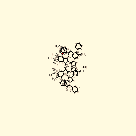 Cc1ccc(C2=Cc3c(ccc(C)c3-c3ccccc3)C2C2=C(c3ccco3)[CH]([Zr+2][CH]3C(c4ccco4)=C(C4C(c5ccc(C)o5)=Cc5c4ccc(C)c5-c4ccccc4)c4c3cc([SiH](C)C)c(C)c4-c3ccccc3)c3cc([SiH](C)C)c(C)c(-c4ccccc4)c32)o1.[Cl-].[Cl-]